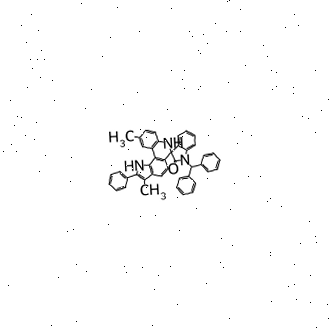 Cc1ccc2c(c1)-c1c(ccc3c(C)c(-c4ccccc4)[nH]c13)C1(N2)C(=O)N(C(c2ccccc2)c2ccccc2)c2ccccc21